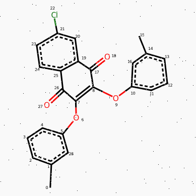 Cc1cccc(OC2=C(Oc3cccc(C)c3)C(=O)c3cc(Cl)ccc3C2=O)c1